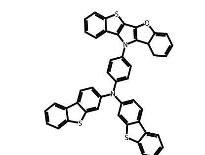 C1=CCC2C(=C1)Oc1c2n(-c2ccc(N(c3ccc4c(c3)sc3ccccc34)c3ccc4c(c3)sc3ccccc34)cc2)c2c1sc1ccccc12